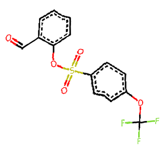 O=Cc1ccccc1OS(=O)(=O)c1ccc(OC(F)(F)F)cc1